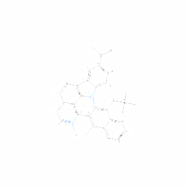 Cc1c2ccccc2c(CC(C)(C)C)c2c1c1c3c(ccc4c5cc(C(C)C)ccc5n2c43)cc[n+]1C